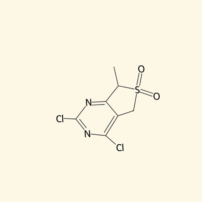 CC1c2nc(Cl)nc(Cl)c2CS1(=O)=O